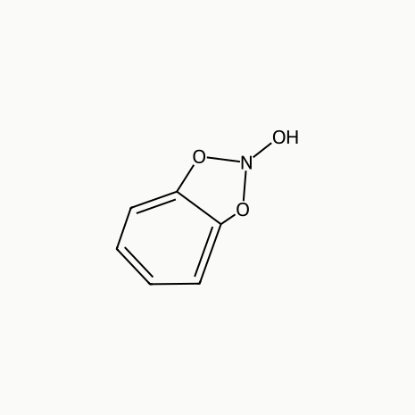 ON1Oc2ccccc2O1